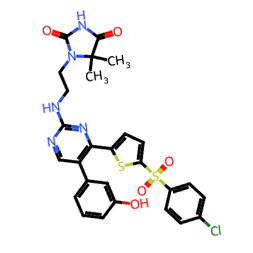 CC1(C)C(=O)NC(=O)N1CCNc1ncc(-c2cccc(O)c2)c(-c2ccc(S(=O)(=O)c3ccc(Cl)cc3)s2)n1